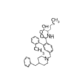 CSCCC(NC(=O)c1ccc(CN2CCC(Cc3ccccc3)CC2)cc1-c1ccccc1C)C(=O)O